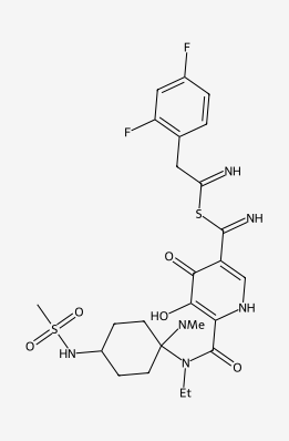 CCN(C(=O)c1[nH]cc(C(=N)SC(=N)Cc2ccc(F)cc2F)c(=O)c1O)C1(NC)CCC(NS(C)(=O)=O)CC1